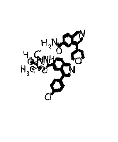 CN(NC(=O)c1ccc2cncc(-c3ccc(Cl)cc3)c2c1)S(C)(=O)=O.NC(=O)c1ccc2cncc(C3=CCOCC3)c2c1